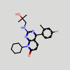 Cc1cc(F)ccc1-c1nc(NCC(C)(C)O)nc2c1ccc(=O)n2C1CCCCC1